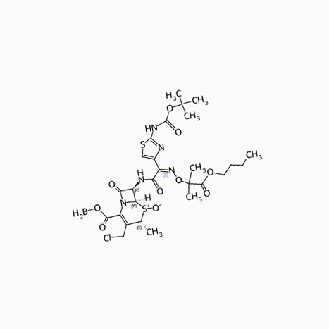 BOC(=O)C1=C(CCl)[C@@H](C)[S+]([O-])[C@@H]2[C@H](NC(=O)/C(=N\OC(C)(C)C(=O)OCCCC)c3csc(NC(=O)OC(C)(C)C)n3)C(=O)N12